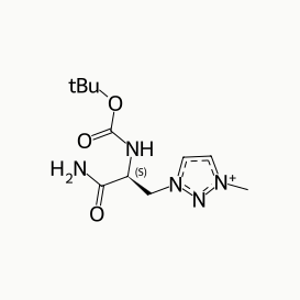 C[n+]1ccn(C[C@H](NC(=O)OC(C)(C)C)C(N)=O)n1